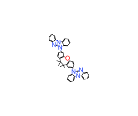 CC1(C)c2ccc(-n3c4ccccc4n4c5ccccc5nc34)cc2Oc2ccc(-n3c4ccccc4n4c5ccccc5nc34)cc2C1(C)C